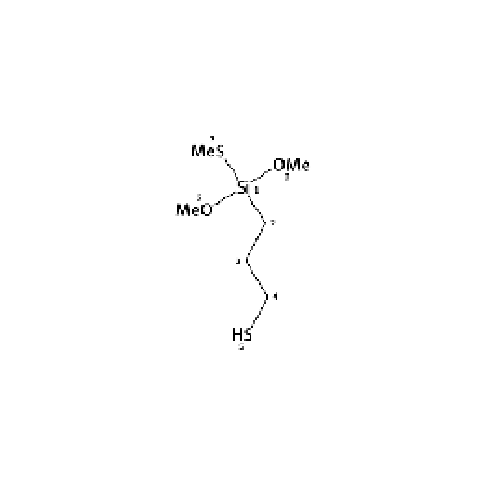 CO[Si](CCCS)(OC)SC